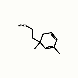 CCCCCCCCC1(C)[CH]C=CC(C)=C1